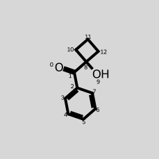 O=C(c1ccccc1)C1(O)CCC1